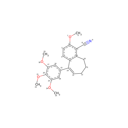 COc1ccc2c(c1C#N)CCCC=C2c1cc(OC)c(OC)c(OC)c1